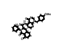 COc1ccc(Cn2cnc(=O)c3c(NC(C)c4cc5cccc(Cl)c5c(=O)n4-c4ccccc4)ncnc32)cc1